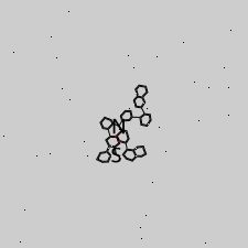 c1cc(-c2ccccc2-c2ccc3ccccc3c2)cc(N(c2ccc(-c3cccc4ccccc34)cc2)c2ccccc2-c2ccc3sc4ccccc4c3c2)c1